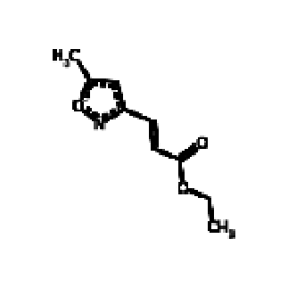 CCOC(=O)/C=C/c1cc(C)on1